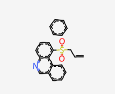 C=CCS(=O)(=O)c1cccc2ncc3ccccc3c12.c1ccccc1